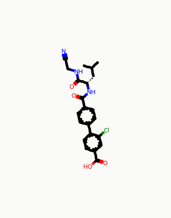 CC(C)C[C@H](NC(=O)c1ccc(-c2ccc(C(=O)O)cc2Cl)cc1)C(=O)NCC#N